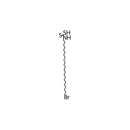 S=C(S)NCCCCCCCCCCCCCCCCCCCCCCCBr